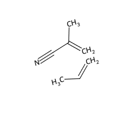 C=C(C)C#N.C=CC